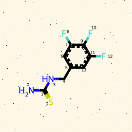 NC(=S)NCc1cc(F)c(F)c(F)c1